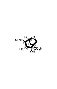 CC(=O)N[C@H]1[C@H]2OC[C@](C(=O)O)(O2)[C@H](O)[C@@H]1O